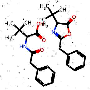 CC(C)(C)C(NC(=O)Cc1ccccc1)C(=O)O.CC(C)(C)[C]1N=C(Cc2ccccc2)OC1=O